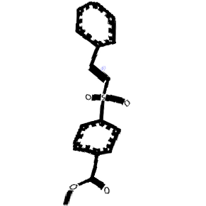 COC(=O)c1ccc(S(=O)(=O)/C=C/c2ccccc2)cc1